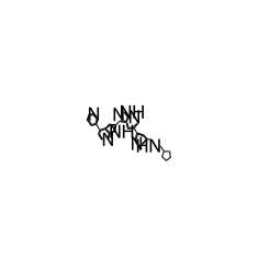 c1cncc(-c2ccnc3[nH]c(-c4n[nH]c5ncc(-c6cncc(CNCC7CCCC7)c6)cc45)cc23)c1